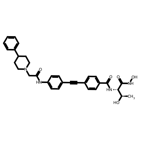 C[C@@H](O)[C@H](NC(=O)c1ccc(C#Cc2ccc(NC(=O)CN3CCC(c4ccccc4)CC3)cc2)cc1)C(=O)NO